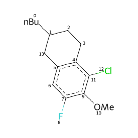 CCCCC1CCc2c(cc(F)c(OC)c2Cl)C1